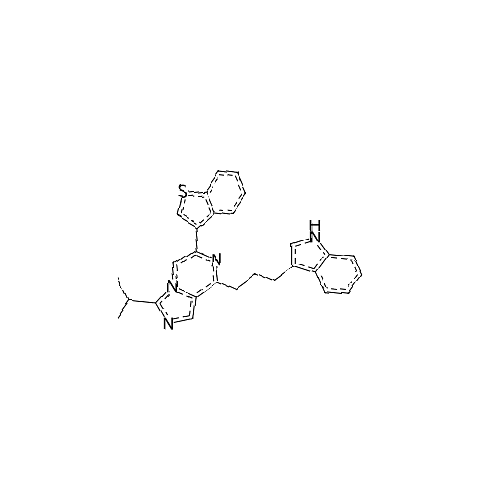 CC(C)c1ncc2c(CCCc3c[nH]c4ccccc34)nc(-c3csc4ccccc34)cn12